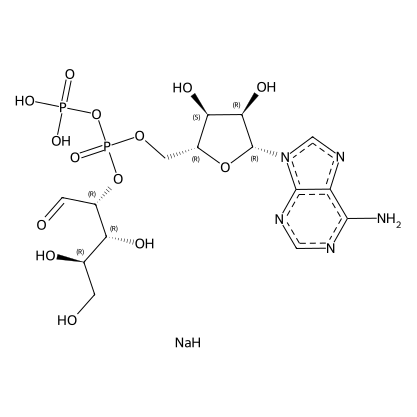 Nc1ncnc2c1ncn2[C@@H]1O[C@H](COP(=O)(O[C@@H](C=O)[C@H](O)[C@H](O)CO)OP(=O)(O)O)[C@@H](O)[C@H]1O.[NaH]